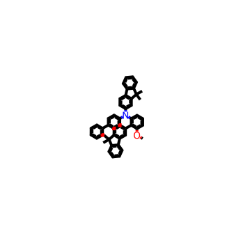 COc1cccc(N(c2ccc(-c3ccccc3)cc2)c2ccc3c(c2)C(C)(C)c2ccccc2-3)c1-c1ccc2c(c1)-c1ccccc1C2(C)C